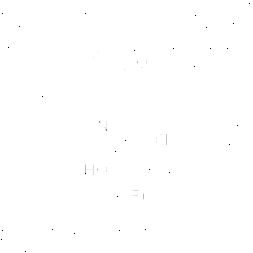 CCOC(O)c1ncc(C(=O)Cl)cc1Cl